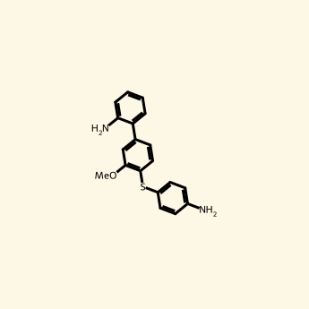 COc1cc(-c2ccccc2N)ccc1Sc1ccc(N)cc1